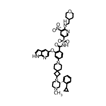 CN1CCN(C2CC3(CCN(c4ccc(C(=O)NS(=O)(=O)c5cnc(NCC6CCOCC6)c([N+](=O)[O-])c5)c(Oc5cnc6[nH]ccc6c5)c4)CC3)C2)[C@H](c2ccccc2C2CC2)C1